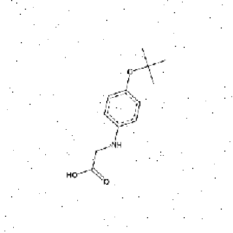 CC(C)(C)Oc1ccc(NCC(=O)O)cc1